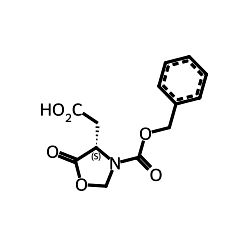 O=C(O)C[C@H]1C(=O)OCN1C(=O)OCc1ccccc1